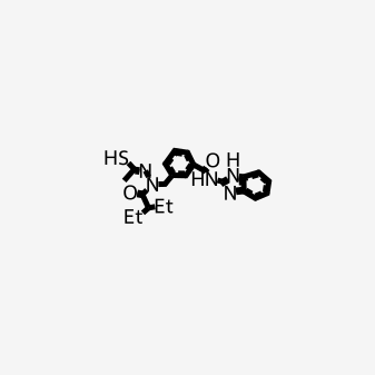 CCC(CC)C(=O)N(Cc1cccc(C(=O)Nc2nc3ccccc3[nH]2)c1)/N=C(\C)S